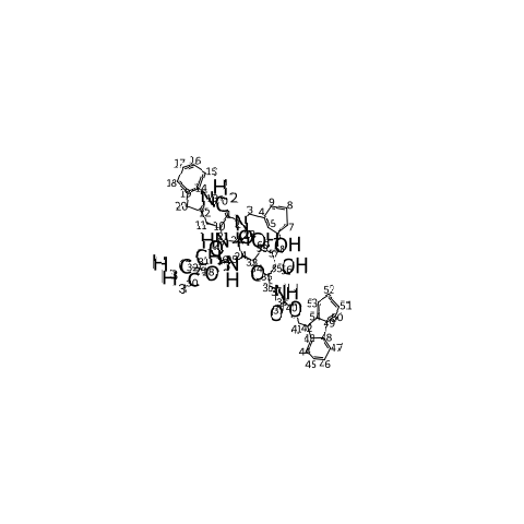 C=C(NCc1ccccc1)[C@H](CC1=Nc2ccccc2C1)NC(=O)C(NC(=O)OC(C)(C)C)[C@@H]1OC(CNC(=O)OCC2c3ccccc3-c3ccccc32)[C@@H](O)C(O)C1O